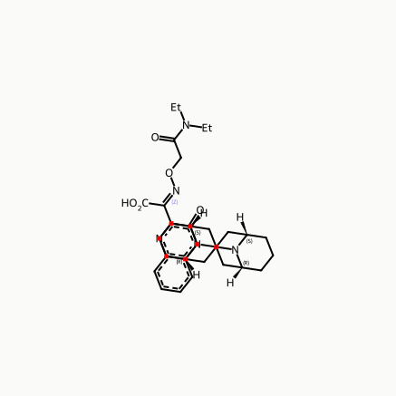 CCN(CC)C(=O)CO/N=C(\C(=O)O)c1nc2ccccc2n(C2C[C@H]3CCC[C@@H](C2)N3C2C[C@H]3CCC[C@@H](C2)C3)c1=O